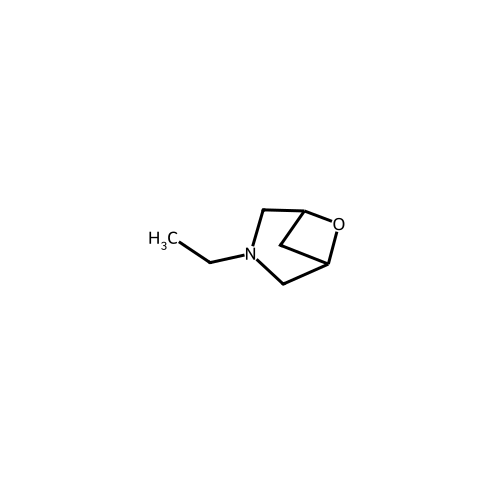 CCN1CC2CC(C1)O2